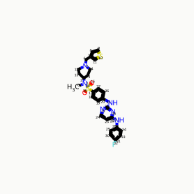 CN(C1CCN(Cc2ccsc2)CC1)S(=O)(=O)c1ccc(Nc2nccc(Nc3ccc(F)cc3)n2)cc1